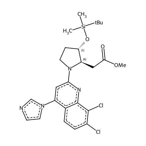 COC(=O)C[C@@H]1[C@@H](O[Si](C)(C)C(C)(C)C)CCN1c1cc(-n2ccnc2)c2ccc(Cl)c(Cl)c2n1